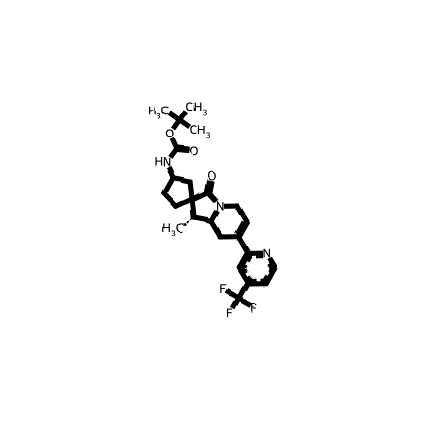 C[C@H]1C2CC(c3cc(C(F)(F)F)ccn3)=CCN2C(=O)C12CCC(NC(=O)OC(C)(C)C)C2